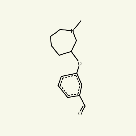 CN1CCCCC(Oc2cccc(C=O)c2)C1